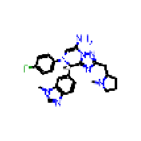 CN1CCCC1Cc1nc2n(n1)C(N)=CN(c1ccc(F)cc1)[C@@H]2c1ccc2ncn(C)c2c1